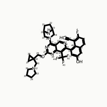 C#Cc1c(F)ccc2cc(O)cc(-c3ncc4c(N5CC6CCC(C5)N6)nc(OCC5(CN6CCCC6)CC5)nc4c3C(F)(F)F)c12